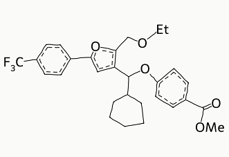 CCOCc1oc(-c2ccc(C(F)(F)F)cc2)cc1C(Oc1ccc(C(=O)OC)cc1)C1CCCCC1